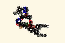 COc1ccc(C(OC[C@@H]2COc3ccc(OCc4ccnc(-c5ccccc5OC)n4)c(c3)C[C@H](C(=O)O)Oc3ncnc4oc(Br)c(c34)-c3ccc(c(Cl)c3C)O2)(c2ccccc2)c2ccc(OC)cc2)cc1